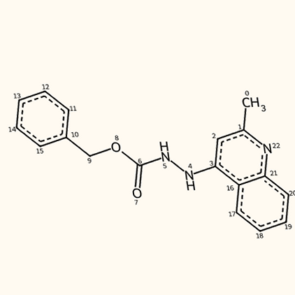 Cc1cc(NNC(=O)OCc2ccccc2)c2ccccc2n1